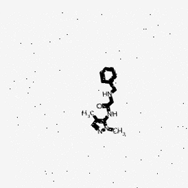 Cc1cnn(C)c1NC(=O)CNCc1ccccc1